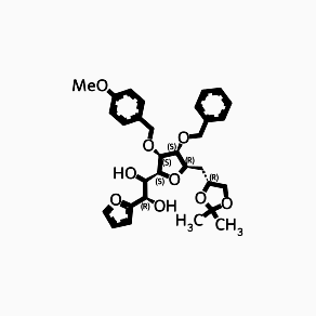 COc1ccc(CO[C@H]2[C@@H](OCc3ccccc3)[C@@H](C[C@@H]3COC(C)(C)O3)O[C@H]2C(O)[C@@H](O)c2ccco2)cc1